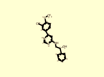 O[C@@H](CNc1cc(-c2ccc(OC(F)(F)F)c(Cl)c2)ncn1)c1ccccc1